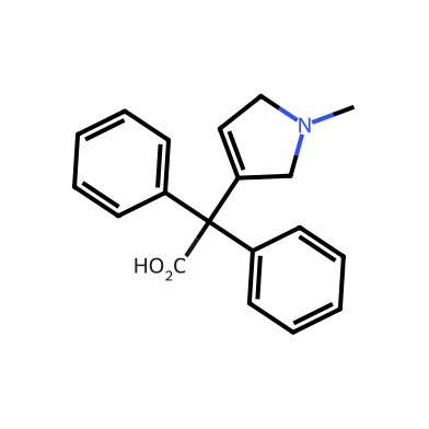 CN1CC=C(C(C(=O)O)(c2ccccc2)c2ccccc2)C1